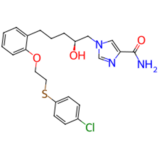 NC(=O)c1cn(C[C@@H](O)CCCc2ccccc2OCCSc2ccc(Cl)cc2)cn1